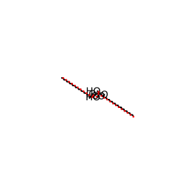 CCCCCCCC/C=C/CCCCCCCCCCCC(=O)OCC(CO)(CO)COC(=O)CC(C)CCCCCCCCCCCCCCCCCCCC